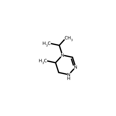 CC(C)N1C=NNCC1C